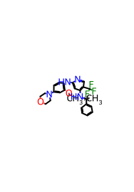 COc1cc(N2CCOCC2)ccc1Nc1cc(N[C@@H](C)c2ccccc2)c(C(F)(F)F)cn1